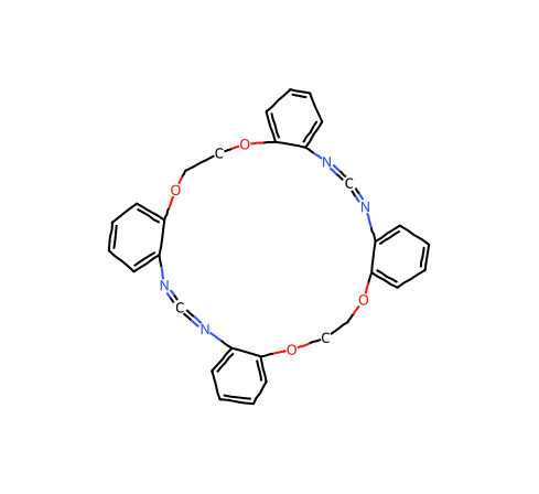 C1=Nc2ccccc2OCCOc2ccccc2N=C=Nc2ccccc2OCCOc2ccccc2N=1